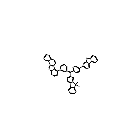 CC1(C)c2ccccc2-c2ccc(N(c3ccc(-c4ccc5c(c4)sc4ccccc45)cc3)c3cccc(-c4cccc5oc6c7ccccc7ccc6c45)c3)cc21